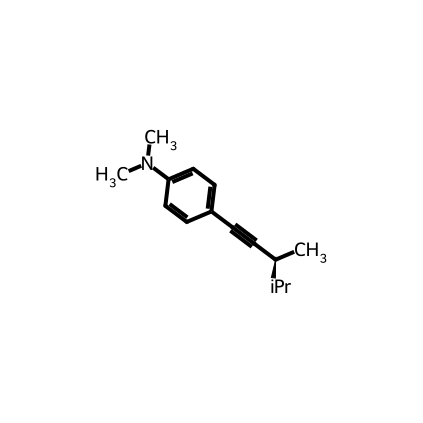 CC(C)[C@H](C)C#Cc1ccc(N(C)C)cc1